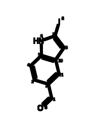 O=Cc1ccc2[nH]c(I)cc2c1